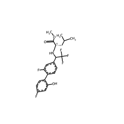 COC(=O)[C@H](CC(C)C)NC(c1ccc(-c2ccc(F)cc2O)c(F)c1)C(F)(F)F